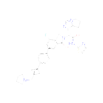 O=C(Nc1nccs1)[C@@H](c1ncn2c1CCC2)N1Cc2c(F)cc(-c3ccc(C45CC(CN6CCCC6)(C4)C5)cc3)cc2C1=O